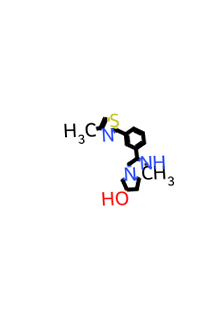 CNC(CN1CCC(O)C1)c1cccc(-c2nc(C)cs2)c1